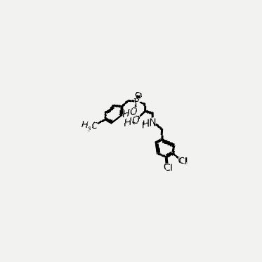 Cc1ccc(CP(=O)(O)CC(O)CNCc2ccc(Cl)c(Cl)c2)cc1